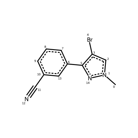 Cn1cc(Br)c(-c2cccc(C#N)c2)n1